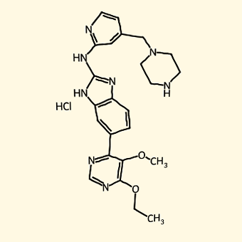 CCOc1ncnc(-c2ccc3nc(Nc4cc(CN5CCNCC5)ccn4)[nH]c3c2)c1OC.Cl